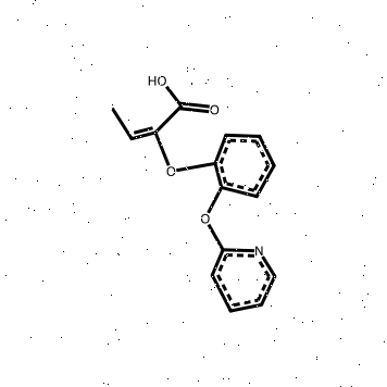 CC=C(Oc1ccccc1Oc1ccccn1)C(=O)O